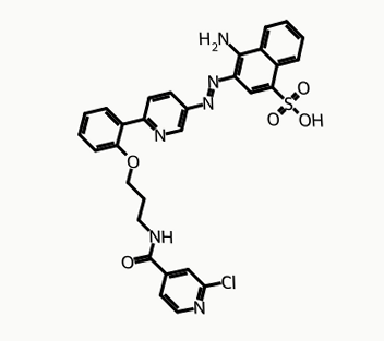 Nc1c(N=Nc2ccc(-c3ccccc3OCCCNC(=O)c3ccnc(Cl)c3)nc2)cc(S(=O)(=O)O)c2ccccc12